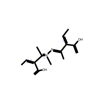 C=C(O)/C(=C\C)C(C)=N/[N+](C)=C(C)/C(=C/C)C(=C)O